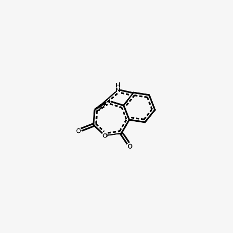 O=c1oc(=O)c2cccc3[nH]c1nc32